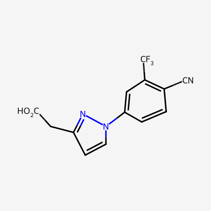 N#Cc1ccc(-n2ccc(CC(=O)O)n2)cc1C(F)(F)F